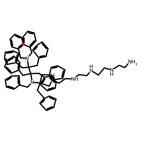 NCCNCCNCCNCCNCC(Cc1ccccc1)(Cc1ccccc1)N(Cc1ccccc1)C(Cc1ccccc1)(Cc1ccccc1)C(Cc1ccccc1)(Cc1ccccc1)N(Cc1ccccc1)Cc1ccccc1